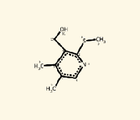 CSc1ncc(C)c(C)c1CO